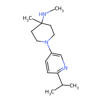 CNC1(C)CCN(c2ccc(C(C)C)nc2)CC1